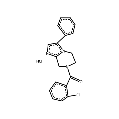 Cl.O=C(c1ccccc1Cl)N1CCn2c(-c3ccccc3)cnc2C1